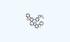 Cc1ccc(-n2c3c(c4ccc5sc6c(c5c42)C=CCC6)C=CCC3)c(-c2ccc3oc4ccccc4c3c2)c1